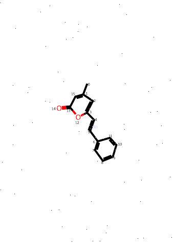 Cc1cc(/C=C/c2ccccc2)oc(=O)c1